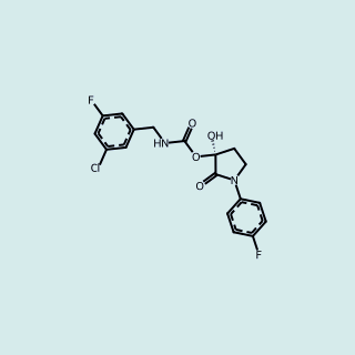 O=C(NCc1cc(F)cc(Cl)c1)O[C@@]1(O)CCN(c2ccc(F)cc2)C1=O